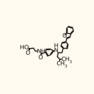 CC(C)CC(Cc1ccc(-c2cc3ccccc3o2)cc1)Nc1ccc(C(=O)NCCC(=O)O)cc1